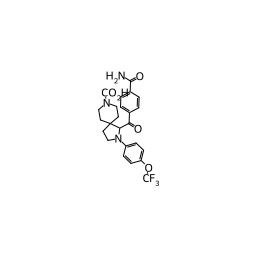 NC(=O)c1ccc(C(=O)C2N(c3ccc(OC(F)(F)F)cc3)CCC23CCN(C(=O)O)CC3)cc1